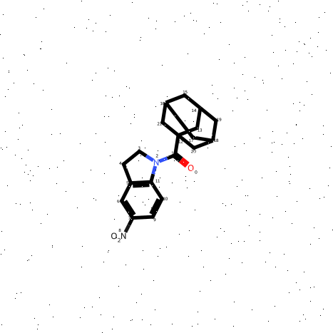 O=C(N1CCc2cc([N+](=O)[O-])ccc21)C12CC3CC(CC(C3)C1)C2